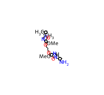 COc1cc2c(cc1OCCCCCOc1cc3c(cc1OC)C(=O)N1Cc4cc(N)ccc4C[C@H]1C=N3)N=C[C@H](Cc1ccccc1C)N(C)C2=O